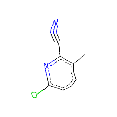 Cc1ccc(Cl)nc1C#N